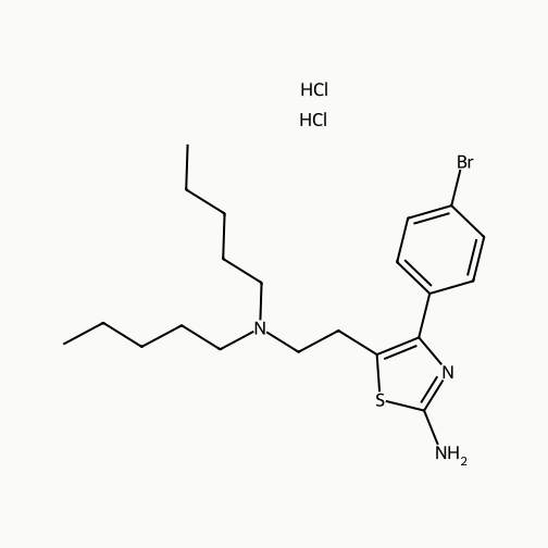 CCCCCN(CCCCC)CCc1sc(N)nc1-c1ccc(Br)cc1.Cl.Cl